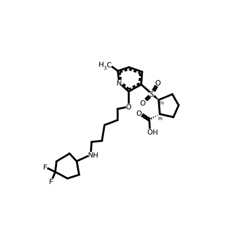 Cc1ccc(S(=O)(=O)[C@H]2CCC[C@@H]2C(=O)O)c(OCCCCCNC2CCC(F)(F)CC2)n1